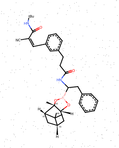 CC(C)(C)NC(=O)C(C#N)=Cc1cccc(CCC(=O)NC(Cc2ccccc2)B2O[C@@H]3C[C@@H]4C[C@@H](C4(C)C)[C@]3(C)O2)c1